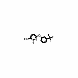 N=c1ccc(Oc2cccc(C(F)(F)F)c2)n[nH]1